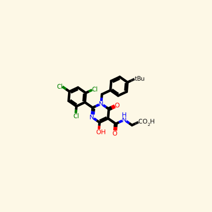 CC(C)(C)c1ccc(Cn2c(-c3c(Cl)cc(Cl)cc3Cl)nc(O)c(C(=O)NCC(=O)O)c2=O)cc1